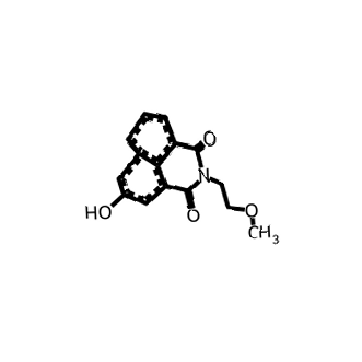 COCCN1C(=O)c2cccc3cc(O)cc(c23)C1=O